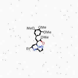 CCc1cc(C(=Cc2cc(OC)c(OC)c(OC)c2)C(=O)OC)n2nccc2n1